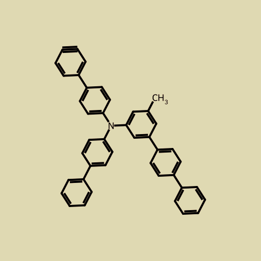 Cc1cc(-c2ccc(-c3ccccc3)cc2)cc(N(c2ccc(-c3cc#ccc3)cc2)c2ccc(-c3ccccc3)cc2)c1